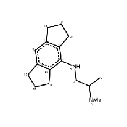 CNC(C)CNc1c2c(cc3c1CCC3)CCC2